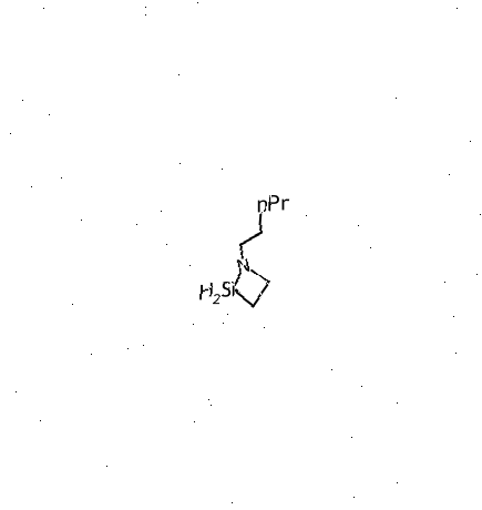 CCCCCN1CC[SiH2]1